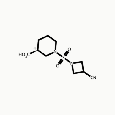 N#CC1CN(S(=O)(=O)N2CCC[C@H](C(=O)O)C2)C1